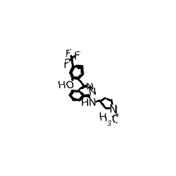 CCN1CCC(Nc2nnc(-c3ccc(C(F)(F)F)cc3O)c3ccccc23)C1